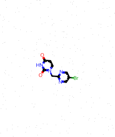 O=c1ccn(Cc2ncc(Br)cn2)c(=O)[nH]1